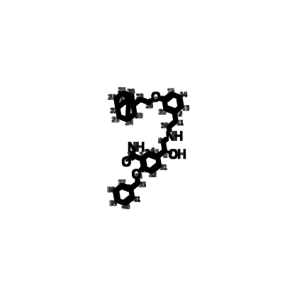 NC(=O)c1cc([C@@H](O)CNCCc2cccc(OCCC34CC5CC(CC(C5)C3)C4)c2)ccc1OCc1ccccc1